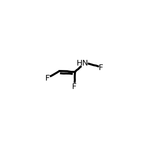 F/C=C(\F)NF